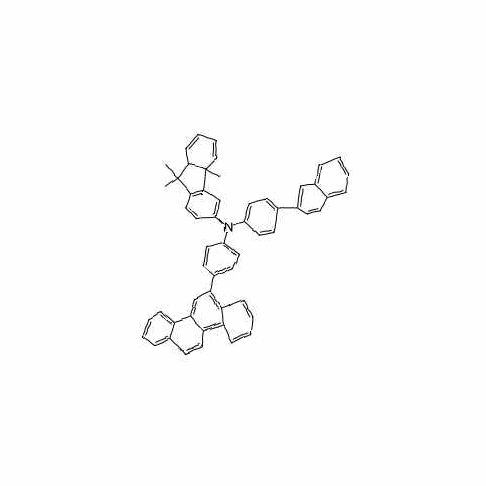 CC1(C)c2ccc(N(c3ccc(-c4ccc5ccccc5c4)cc3)c3ccc(-c4cc5c6ccccc6ccc5c5ccccc45)cc3)cc2C2(C)C=CC=CC12